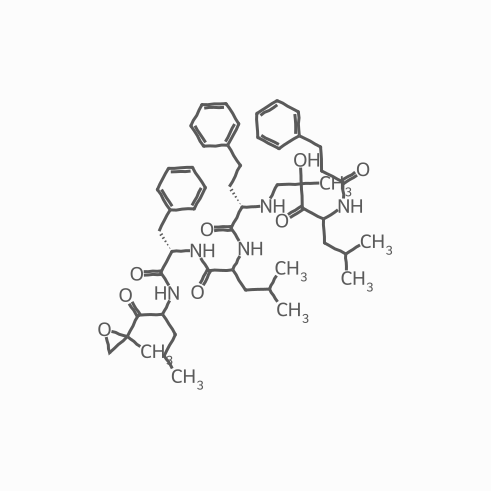 CCCC(NC(=O)[C@H](Cc1ccccc1)NC(=O)C(CC(C)C)NC(=O)[C@H](CCc1ccccc1)NCC(C)(O)C(=O)C(CC(C)C)NC(=O)CCc1ccccc1)C(=O)C1(C)CO1